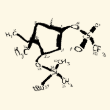 CC1(C)CCC(OS(=O)(=O)C(F)(F)F)=C[C@H]1O[Si](C)(C)C(C)(C)C